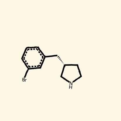 Brc1cccc(C[C@@H]2CCNC2)c1